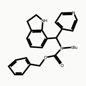 CC(C)(C)N(C(=O)OCc1ccccc1)C(c1ccncc1)c1cccc2c1NCC2